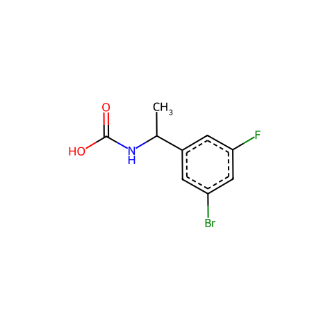 CC(NC(=O)O)c1cc(F)cc(Br)c1